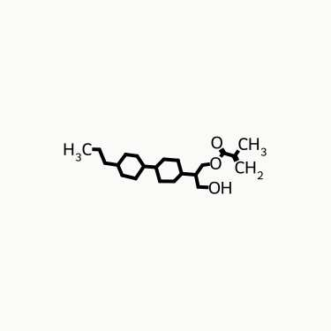 C=C(C)C(=O)OCC(CO)C1CCC(C2CCC(CCC)CC2)CC1